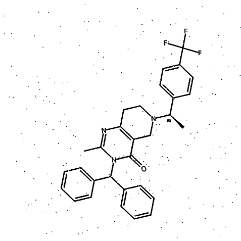 Cc1nc2c(c(=O)n1C(c1ccccc1)c1ccccc1)CN([C@H](C)c1ccc(C(F)(F)F)cc1)CC2